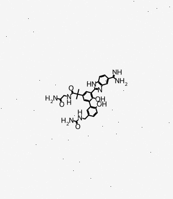 CC(C)(C(=O)NCC(N)=O)c1cc(-c2nc3cc(C(=N)N)ccc3[nH]2)c(O)c(-c2cc(CNC(N)=O)ccc2O)c1